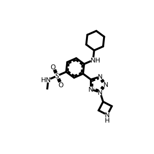 CNS(=O)(=O)c1ccc(NC2CCCCC2)c(-c2nnn(C3CNC3)n2)c1